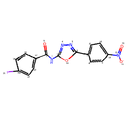 O=C(Nc1nnc(-c2ccc([N+](=O)[O-])cc2)o1)c1ccc(I)cc1